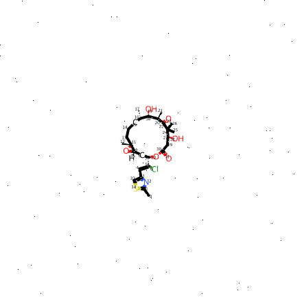 Cc1nc(C=C(Cl)[C@@H]2C[C@H]3O[C@]3(C)CCC[C@H](C)[C@H](O)[C@@H](C)C(=O)C(C)(C)[C@@H](O)CC(=O)O2)cs1